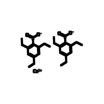 CCc1cc(CC)c(S(=O)[O-])c(CC)c1.CCc1cc(CC)c(S(=O)[O-])c(CC)c1.[Ca+2]